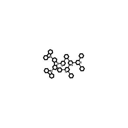 c1ccc(-c2cc(-c3cc(-c4ccccc4-c4ccnc(-n5c6ccc(-n7c8ccccc8c8ccccc87)cc6c6cc(-n7c8ccccc8c8ccccc87)ccc65)c4)cc(-c4cc(-c5ccccc5)nc(-c5ccccc5)c4)n3)cc(-c3ccccc3)n2)cc1